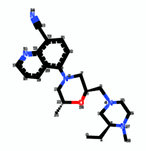 CC[C@H]1CN(C[C@@H]2CN(c3ccc(C#N)c4ncccc34)C[C@@H](C)O2)CCN1C